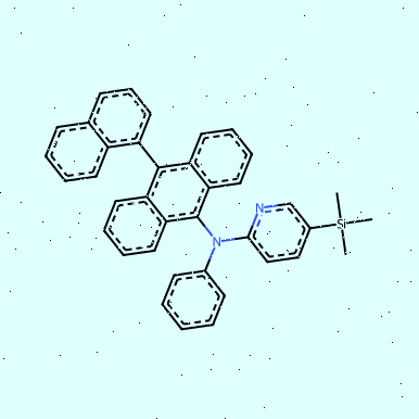 C[Si](C)(C)c1ccc(N(c2ccccc2)c2c3ccccc3c(-c3cccc4ccccc34)c3ccccc23)nc1